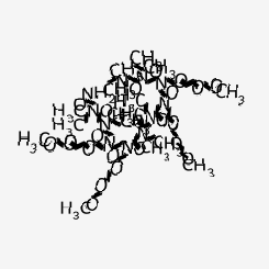 CCC(C)NCC(=O)N(CC(=O)N(CCOCCOCCOC)CC(=O)N(CCOCCOCCOC)CC(=O)N(CC(=O)N(CC(=O)N(CCOCCOCCOC)CC(=O)N(CCOCCOCCOC)CC(=O)N(CC(=O)N(CC(N)=O)C(C)CC)C(C)CC)C(C)CC)C(C)CC)C(C)CC